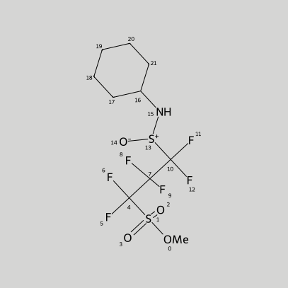 COS(=O)(=O)C(F)(F)C(F)(F)C(F)(F)[S+]([O-])NC1CCCCC1